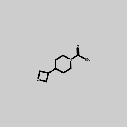 CC(C)(C)C(=O)N1CCC(C2COC2)CC1